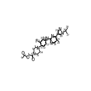 CC(=O)OCC(=O)N1CCN(c2ccc(Nc3ncc(C)c(-c4cnn(C(C)C)c4)n3)cc2F)CC1